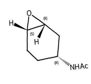 CC(=O)N[C@@H]1CC[C@@H]2O[C@@H]2C1